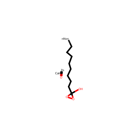 CCCCCCCCCCCCCCCCCC1(O)OO1.[CaH2].[O]=[Zn]